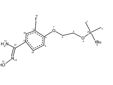 CC(C)(C)[Si](C)(C)OCCOc1ccc(C(N)=NO)cc1F